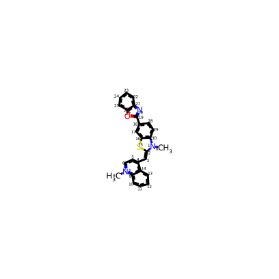 CN1/C(=C/c2cc[n+](C)c3ccccc23)Sc2cc(-c3nc4ccccc4o3)ccc21